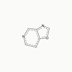 [c]1cncc2ncoc12